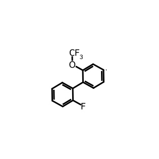 Fc1ccccc1-c1cc[c]cc1OC(F)(F)F